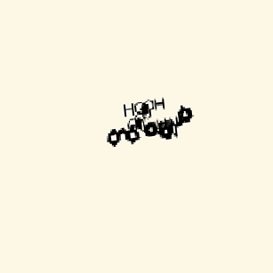 O=C(O)O.O=C1OC2C(CC3CCCCC3)CCCC2N1C1CCN(c2ccnc(NCc3ccccc3)n2)CC1